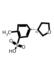 Cc1ccc([C@@H]2CCOC2)cc1S(=O)(=O)O